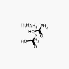 N.N.O=C(O)P.O=C(O)P